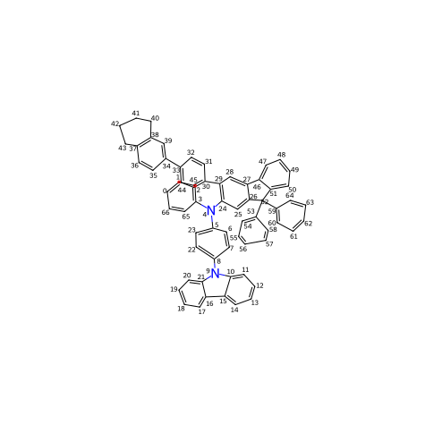 c1ccc(N(c2ccc(-n3c4ccccc4c4ccccc43)cc2)c2cc3c(cc2-c2ccc(-c4ccc5c(c4)CCCC5)cc2)-c2ccccc2C3(c2ccccc2)c2ccccc2)cc1